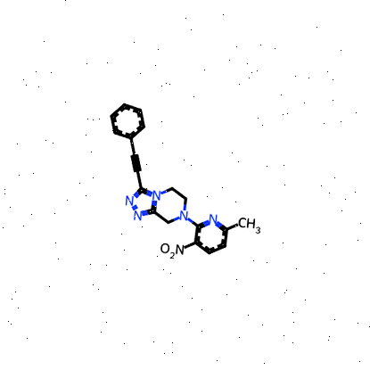 Cc1ccc([N+](=O)[O-])c(N2CCn3c(C#Cc4ccccc4)nnc3C2)n1